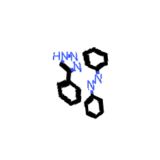 c1ccc(-c2c[nH]nn2)cc1.c1ccc(/N=N/c2ccccc2)cc1